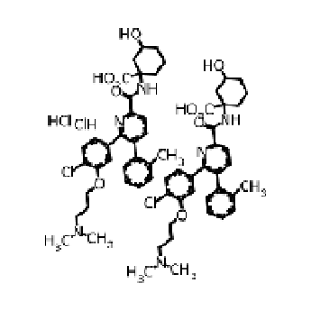 Cc1ccccc1-c1ccc(C(=O)NC2(C(=O)O)CCCC(O)C2)nc1-c1ccc(Cl)c(OCCCN(C)C)c1.Cc1ccccc1-c1ccc(C(=O)NC2(C(=O)O)CCCC(O)C2)nc1-c1ccc(Cl)c(OCCCN(C)C)c1.Cl.Cl